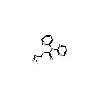 C=CCOC(=O)N(c1ccccn1)c1ccccn1